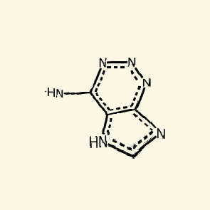 [NH]c1nnnc2nc[nH]c12